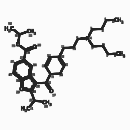 CCCCN(CCCC)CCCC1=CCC(C(=O)c2c(C(C)C)oc3ccc(C(=O)OC(C)C)cc23)C=C1